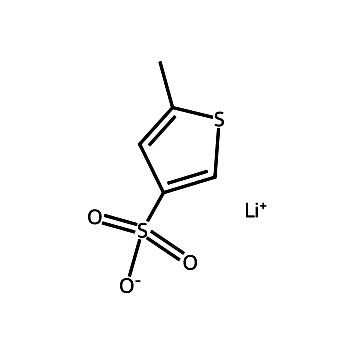 Cc1cc(S(=O)(=O)[O-])cs1.[Li+]